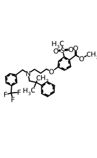 COC(=O)c1ccc(OCCCN(Cc2cccc(C(F)(F)F)c2)CC(C)(C)c2ccccc2)cc1S(C)(=O)=O